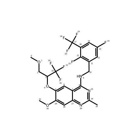 COCC(Oc1cc2c(NCc3cc(F)cc(C(F)(F)F)c3F)nc(C)nc2cc1OC)C(F)(F)F